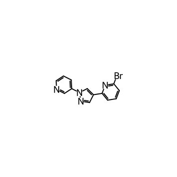 Brc1cccc(-c2cnn(-c3cccnc3)c2)n1